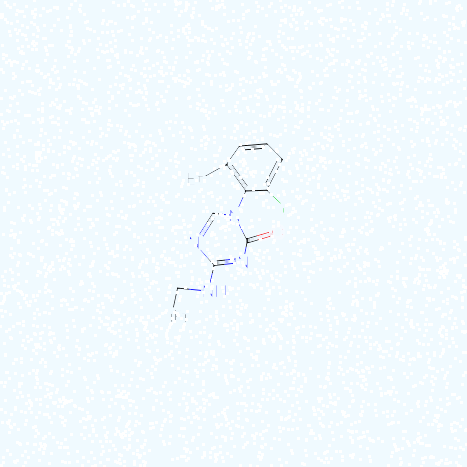 CCc1cccc(Cl)c1-n1cnc(NCC(C)C)nc1=O